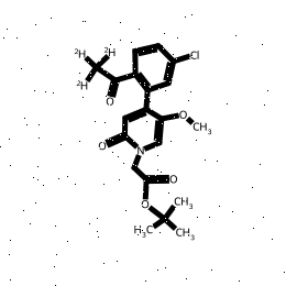 [2H]C([2H])([2H])C(=O)c1ccc(Cl)cc1-c1cc(=O)n(CC(=O)OC(C)(C)C)cc1OC